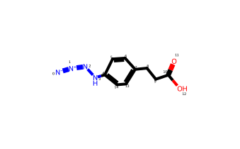 [N-]=[N+]=NNc1ccc(CCC(=O)O)cc1